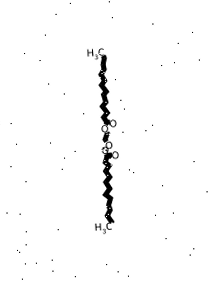 CCCCCCCCCCCCCC(=O)OCCOOC(=O)CCCCCCCCCCCCC